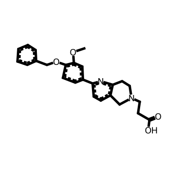 COc1cc(-c2ccc3c(n2)CCN(CCC(=O)O)C3)ccc1OCc1ccccc1